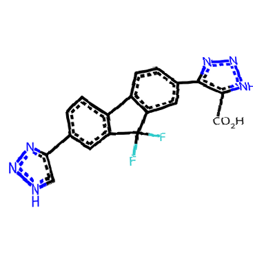 O=C(O)c1[nH]nnc1-c1ccc2c(c1)C(F)(F)c1cc(-c3c[nH]nn3)ccc1-2